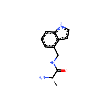 C[C@H](N)C(=O)NCc1cccc2[nH]ccc12